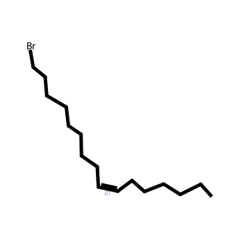 CCCCCC/C=C\CCCCCCCCBr